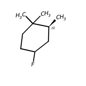 C[C@H]1CC(F)CCC1(C)C